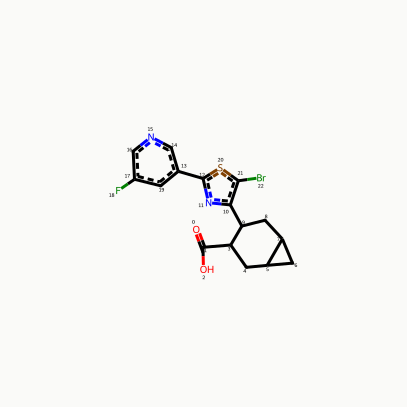 O=C(O)C1CC2CC2CC1c1nc(-c2cncc(F)c2)sc1Br